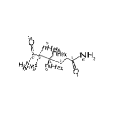 CCCCCCC(CCCCCC)(CCC(N)=O)C(CCCCCC)(CCCCCC)C(N)=O